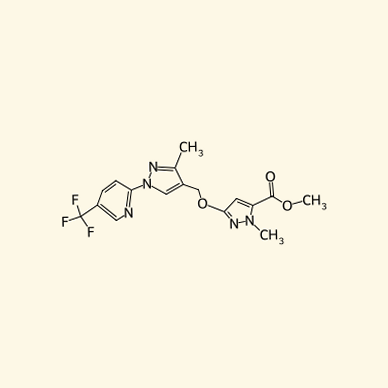 COC(=O)c1cc(OCc2cn(-c3ccc(C(F)(F)F)cn3)nc2C)nn1C